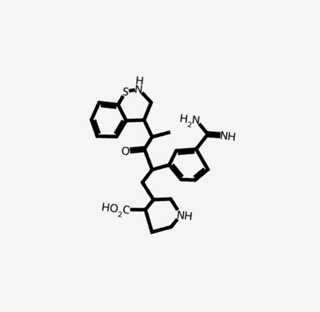 CC(C(=O)C(CC1CNCCC1C(=O)O)c1cccc(C(=N)N)c1)C1CNSc2ccccc21